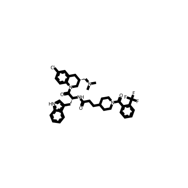 CN(C)C[C@H]1Cc2cc(Cl)ccc2N(C(=O)[C@@H](Cc2c[nH]c3ccccc23)NC(=O)CCC2CCN(C(=O)c3ccccc3C(F)(F)F)CC2)C1